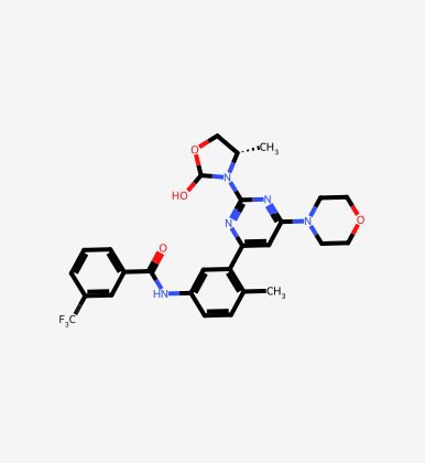 Cc1ccc(NC(=O)c2cccc(C(F)(F)F)c2)cc1-c1cc(N2CCOCC2)nc(N2C(O)OC[C@@H]2C)n1